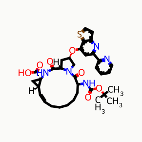 CC(C)(C)OC(=O)NC1CCCCC/C=C\[C@@H]2C[C@@]2(C(=O)O)NC(=O)[C@@H]2C[C@@H](Oc3cc(-c4ccccn4)nc4ccsc34)CN2C1=O